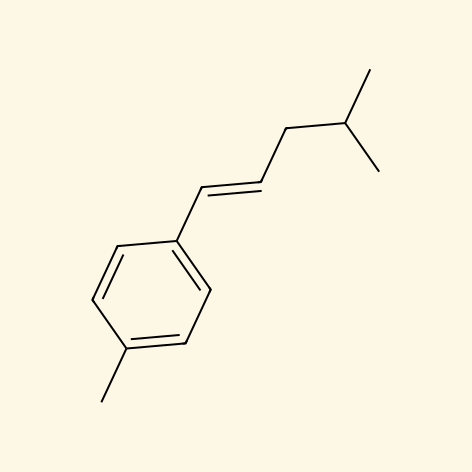 Cc1ccc(C=CCC(C)C)cc1